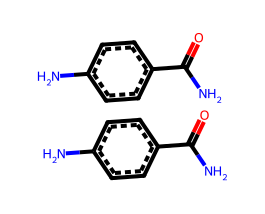 NC(=O)c1ccc(N)cc1.NC(=O)c1ccc(N)cc1